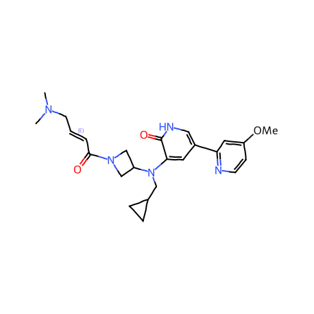 COc1ccnc(-c2c[nH]c(=O)c(N(CC3CC3)C3CN(C(=O)/C=C/CN(C)C)C3)c2)c1